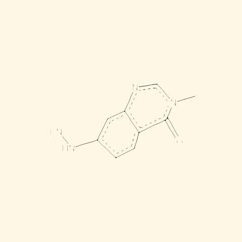 Cn1cnc2cc(NN)ccc2c1=O